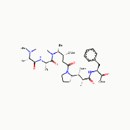 CCCCN(C)[C@H](C(=O)N[C@H](C(=O)N(C)[C@@H]([C@@H](C)CC)[C@@H](CC(=O)N1CCC[C@H]1[C@H](OC)[C@@H](C)C(=O)N[C@@H](Cc1ccccc1)C(=O)OC)OC)C(C)C)C(C)C